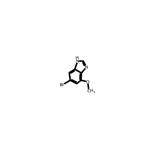 COc1cc(Br)cc2[nH]cnc12